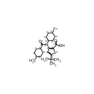 CC1CCC(C(=O)N(c2cc(C(C)(C)C)sc2C(=O)O)C2CCC(F)CC2)CC1